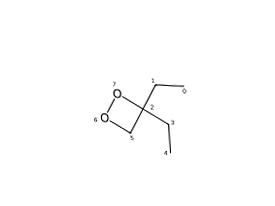 CCC1(CC)COO1